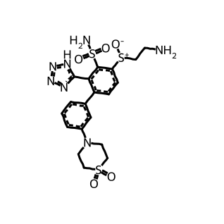 NCC[S+]([O-])c1ccc(-c2cccc(N3CCS(=O)(=O)CC3)c2)c(-c2nnn[nH]2)c1S(N)(=O)=O